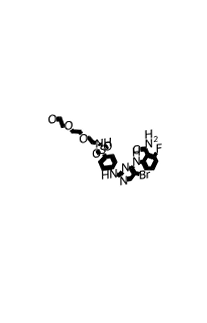 NC(=O)c1c(F)cccc1Nc1nc(Nc2ccc(S(=O)(=O)NCCOCCOCC=O)cc2)ncc1Br